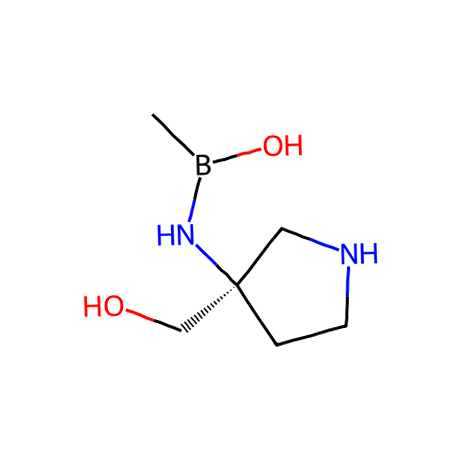 CB(O)N[C@]1(CO)CCNC1